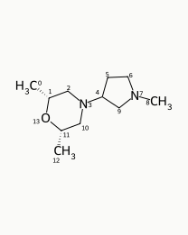 C[C@@H]1CN(C2CCN(C)C2)C[C@H](C)O1